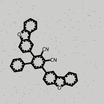 N#Cc1c(-c2ccc3oc4ccccc4c3c2)cc(-c2ccccc2)c(-c2ccc3oc4ccccc4c3c2)c1C#N